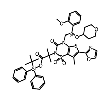 COc1ccccc1[C@H](CN1C(=O)N(C(C)(C)C(=O)O[Si](c2ccccc2)(c2ccccc2)C(C)(C)C)S(=O)(=O)c2c1sc(-c1ncco1)c2C)OC1CCOCC1